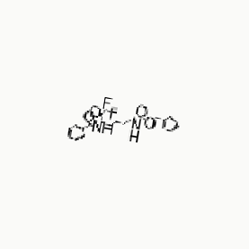 O=C(NCCCCC(NC(=O)c1ccccc1)C(=O)C(F)F)OCc1ccccc1